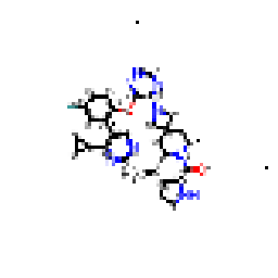 C=C[C@H]1CCN[C@@H]1C(=O)N1CCC2(CC1)CN(c1ncnnc1Oc1ccc(F)cc1-c1cncnc1C1CC1)C2